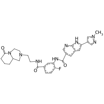 Cn1cc(-c2cc3cc(C(=O)Nc4cc(C(=O)NCCN5CCN6C(=O)CCCC6C5)ccc4F)cnc3[nH]2)cn1